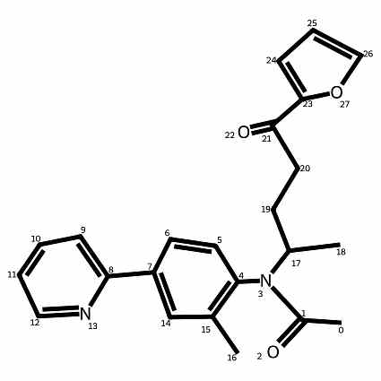 CC(=O)N(c1ccc(-c2ccccn2)cc1C)C(C)CCC(=O)c1ccco1